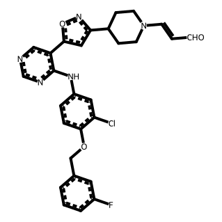 O=CC=CN1CCC(c2cc(-c3cncnc3Nc3ccc(OCc4cccc(F)c4)c(Cl)c3)on2)CC1